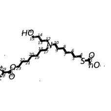 CCCCCCCCC(=O)SCCCCCCCN(CCCCO)CCCCCCCOC(=O)C(CCCCC)CCCCCCC